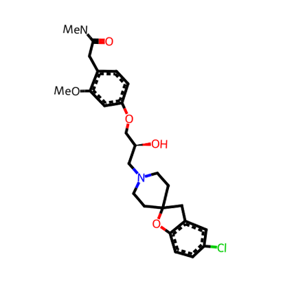 CNC(=O)Cc1ccc(OC[C@@H](O)CN2CCC3(CC2)Cc2cc(Cl)ccc2O3)cc1OC